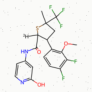 [2H]C1(C(=O)Nc2ccnc(O)c2)SC(C)(C(F)(F)F)CC1c1ccc(F)c(F)c1OC